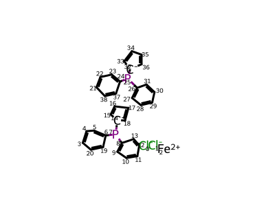 [Cl-].[Cl-].[Fe+2].c1ccc(P(c2ccccc2)[c-]2cccc2)cc1.c1ccc(P(c2ccccc2)[c-]2cccc2)cc1